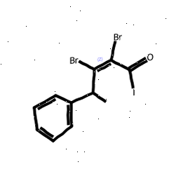 CC(/C(Br)=C(/Br)C(=O)I)c1ccccc1